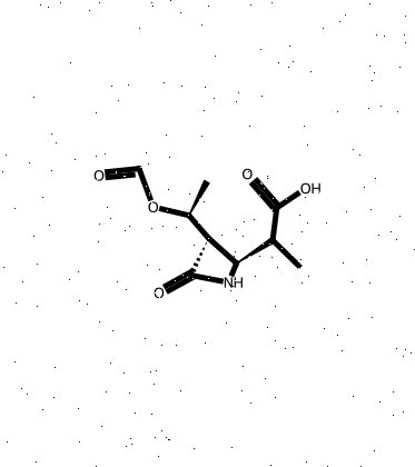 CC(C(=O)O)[C@H]1NC(=O)[C@@H]1[C@H](C)OC=O